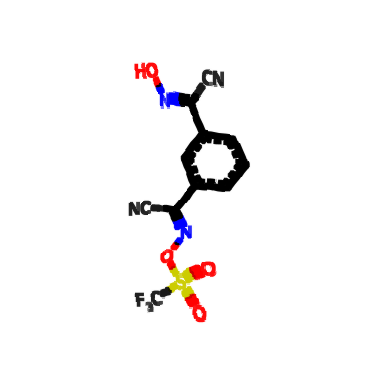 N#CC(=NO)c1cccc(C(C#N)=NOS(=O)(=O)C(F)(F)F)c1